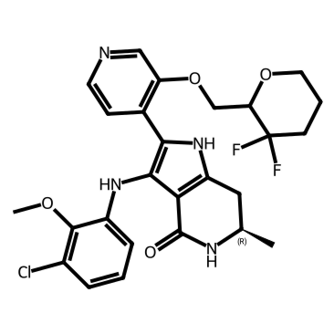 COc1c(Cl)cccc1Nc1c(-c2ccncc2OCC2OCCCC2(F)F)[nH]c2c1C(=O)N[C@H](C)C2